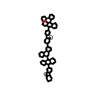 c1ccc(-c2ccccc2-c2c3ccccc3c(-c3ccc4c(c3)oc3cc(-c5ccc6cc(-c7c8ccccc8c(-c8ccc9c(c8)oc8ccccc89)c8ccccc78)c7ccccc7c6c5)ccc34)c3ccccc23)cc1